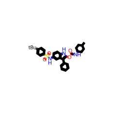 CC1CCC(NC(=O)Oc2[nH]c3ccc(NS(=O)(=O)c4ccc(C(C)(C)C)cc4)cc3c2-c2ccccc2)CC1